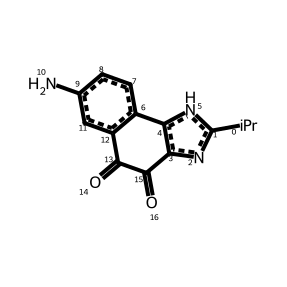 CC(C)c1nc2c([nH]1)-c1ccc(N)cc1C(=O)C2=O